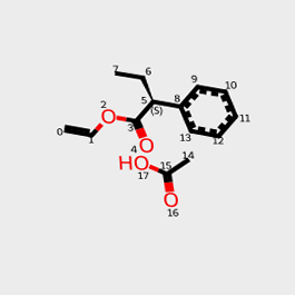 C=COC(=O)[C@@H](CC)c1ccccc1.CC(=O)O